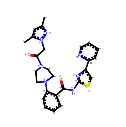 Cc1cc(C)n(CC(=O)N2CCN(c3ccccc3C(=O)Nc3nc(-c4ccccn4)cs3)CC2)n1